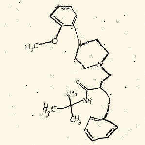 COc1ccccc1N1CCN(CC(Cc2ccccc2)C(=O)NC(C)(C)C)CC1